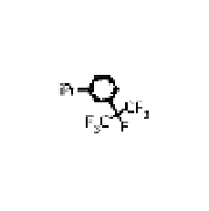 CC(C)c1cccc(C(F)(C(F)(F)F)C(F)(F)F)c1